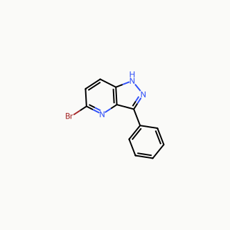 Brc1ccc2[nH]nc(-c3ccccc3)c2n1